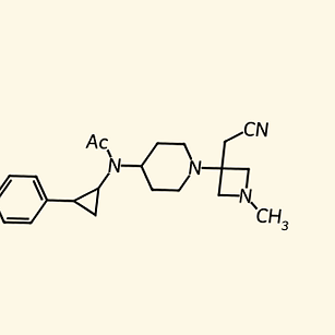 CC(=O)N(C1CCN(C2(CC#N)CN(C)C2)CC1)C1CC1c1ccccc1